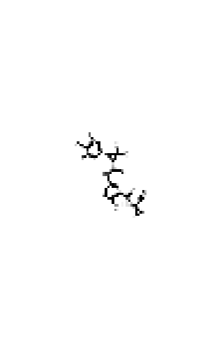 N#CC1(NC(=O)c2cc(NC(=O)[C@H]3[C@H](c4cc(F)c(Br)c(F)c4)C3(Cl)Cl)ccc2Cl)CC1